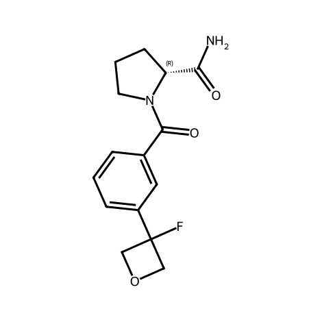 NC(=O)[C@H]1CCCN1C(=O)c1cccc(C2(F)COC2)c1